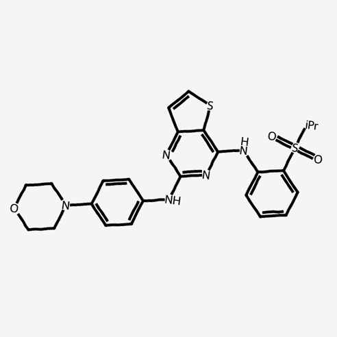 CC(C)S(=O)(=O)c1ccccc1Nc1nc(Nc2ccc(N3CCOCC3)cc2)nc2ccsc12